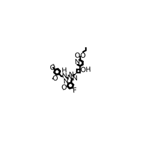 CCCOC(=O)c1ccc([C@]2(O)C[C@H](c3nc4c5cc(F)cc(OC)c5nc(NCc5ccc(OC)cc5OC)n4n3)C2)cn1